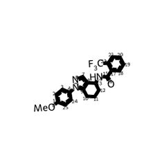 COc1ccc(-n2ncc3c2CCCC3NC(=O)c2ccccc2C(F)(F)F)cc1